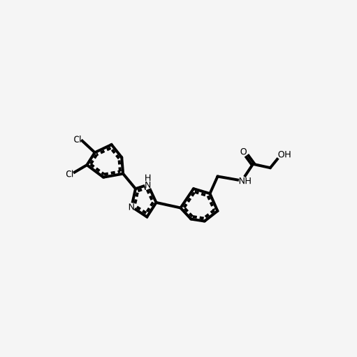 O=C(CO)NCc1cccc(-c2cnc(-c3ccc(Cl)c(Cl)c3)[nH]2)c1